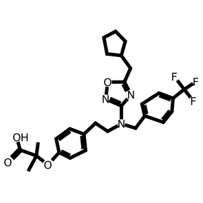 CC(C)(Oc1ccc(CCN(Cc2ccc(C(F)(F)F)cc2)c2noc(CC3CCCC3)n2)cc1)C(=O)O